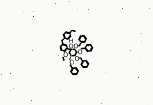 CCOc1ccc(Cc2ccc(CC)cc2)cc1[C@]1(O)C[C@H](COCc2ccccc2)[C@@H](OCc2ccccc2)[C@H](OCc2ccccc2)[C@H]1OCc1ccccc1